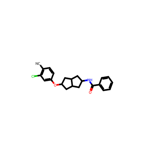 N#Cc1ccc(OC2CC3CC(NC(=O)c4ccccc4)CC3C2)cc1Cl